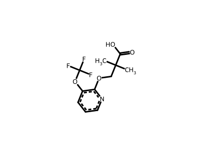 CC(C)(COc1ncccc1OC(F)(F)F)C(=O)O